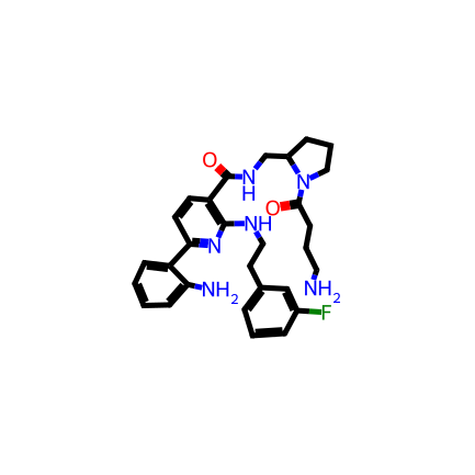 NCCCC(=O)N1CCCC1CNC(=O)c1ccc(-c2ccccc2N)nc1NCCc1cccc(F)c1